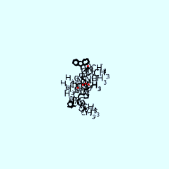 CC[C@H](C)[C@@H]([C@@H](CC(=O)N1CCC[C@H]1[C@H](OC)[C@@H](C)C(=O)N[C@@H](Cc1ccccc1F)C(=O)OC(C)(C)C)OC)N(C)C(=O)[C@@H](NC(=O)[C@H](C(C)C)N(C)C(=O)OCC1c2ccccc2-c2ccccc21)C(C)C